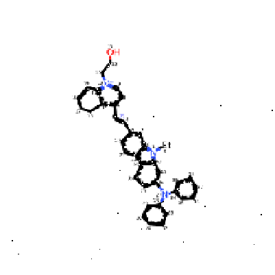 CCn1c2cc(/C=C/c3cc[n+](CCO)c4c3CCC=C4)ccc2c2ccc(N(c3ccccc3)c3ccccc3)cc21